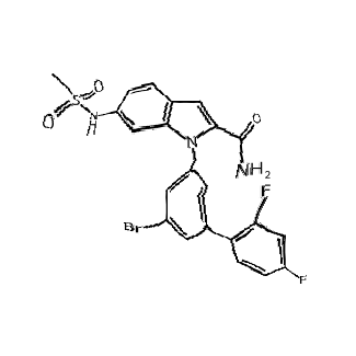 CS(=O)(=O)Nc1ccc2cc(C(N)=O)n(-c3cc(Br)cc(-c4ccc(F)cc4F)c3)c2c1